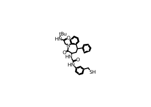 CC(C)(C)NC(=O)CN1C(=O)C(NC(=O)Nc2cccc(CS)c2)CC(c2ccccc2)c2ccccc21